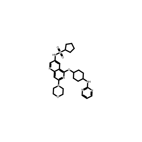 O=S(=O)(Nc1cnc2cc(N3CCOCC3)nc(OC3CCC(Nc4ncccn4)CC3)c2c1)C1CCCC1